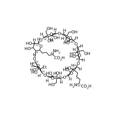 CCC1O[C@H]2O[C@@H]3C(CCC[C@@H](N)C(=O)O)O[C@@H](O[C@@H]4C(CO)O[C@H](O[C@@H]5C(CO)O[C@H](O[C@@H]6C(CO)O[C@H](O[C@@H]7C(CSC[C@@H](N)C(=O)O)O[C@H](O[C@@H]8C(CO)O[C@@H](O[C@H]1C(O)[C@@H]2O)[C@@H](O)C8O)C(O)[C@H]7O)C(O)[C@H]6O)C(O)[C@H]5O)[C@@H](O)C4O)[C@@H](O)C3O